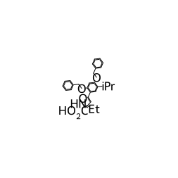 CCC1(C(=O)O)C=C(c2cc(C(C)C)c(OCc3ccccc3)cc2OCc2ccccc2)ON1